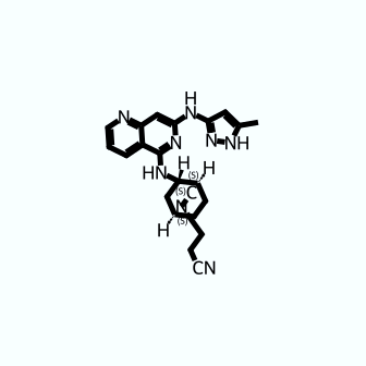 Cc1cc(Nc2cc3ncccc3c(N[C@H]3C[C@@H]4CC[C@H]3CN4CCC#N)n2)n[nH]1